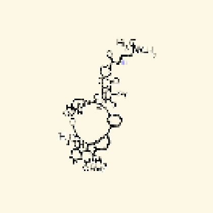 CCn1c(-c2cccnc2[C@H](C)OC)c2c3cc(ccc31)-c1cccc(c1)C[C@H](NC(=O)C(C(C)C)N1CO[C@@]3(CCN(C(=O)/C=C/CN(C)C)C3)C1=O)C(=O)N1CCC[C@H](N1)C(=O)OCC(C)(C)C2